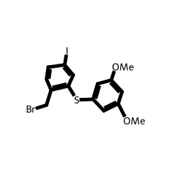 COc1cc(OC)cc(Sc2cc(I)ccc2CBr)c1